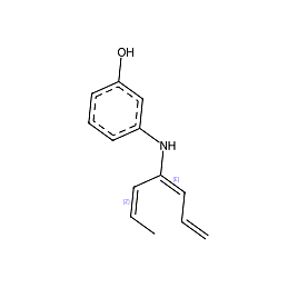 C=C/C=C(\C=C/C)Nc1cccc(O)c1